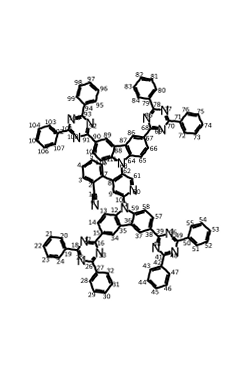 N#Cc1ccccc1-c1cc(-n2c3ccc(-c4nc(-c5ccccc5)nc(-c5ccccc5)n4)cc3c3cc(-c4nc(-c5ccccc5)nc(-c5ccccc5)n4)ccc32)ncc1-n1c2ccc(-c3nc(-c4ccccc4)nc(-c4ccccc4)n3)cc2c2cc(-c3nc(-c4ccccc4)nc(-c4ccccc4)n3)ccc21